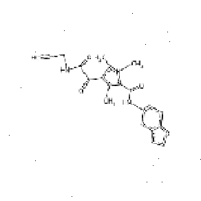 C#CCNC(=O)C(=O)c1c(C)c(C(=O)Nc2ccc3occc3c2)n(C)c1C